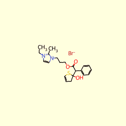 CC[n+]1ccn(CCCOC(=O)C(c2ccccc2)C2(O)CC=CS2)c1C.[Br-]